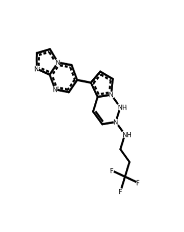 FC(F)(F)CCNN1C=Cc2c(-c3cnc4nccn4c3)ccn2N1